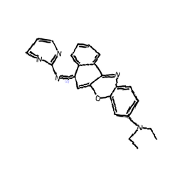 CCN(CC)c1ccc2nc3c4ccccc4/c(=N\c4ncccn4)cc-3oc2c1